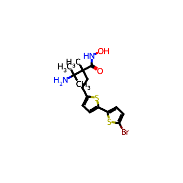 CC(C)(N)C(C)(CCc1ccc(-c2ccc(Br)s2)s1)C(=O)NO